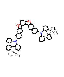 C[Si]1(C)c2ccccc2-c2c(N(c3ccccc3)c3ccc4cc5c(cc4c3)oc3ccc4oc6cc7cc(N(c8ccccc8)c8cccc9c8-c8ccccc8[Si]9(C)C)ccc7cc6c4c35)cccc21